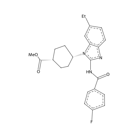 CCc1ccc2nc(NC(=O)c3ccc(F)cc3)n([C@H]3CC[C@@H](C(=O)OC)CC3)c2c1